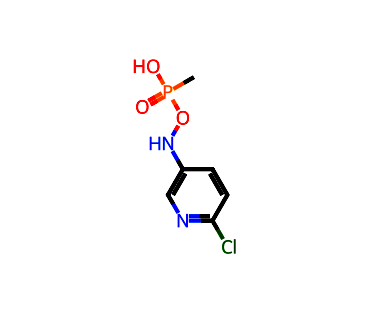 CP(=O)(O)ONc1ccc(Cl)nc1